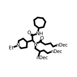 CCCCCCCCCCCCCC(=O)N(CC(CCCCCCCCCC)CCCCCCCCCCCC)C(C(=O)NC1CCCCCC1)C1CCN(CC)CC1